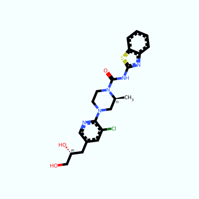 C[C@H]1CN(c2ncc(C[C@@H](O)CO)cc2Cl)CCN1C(=O)Nc1nc2ccccc2s1